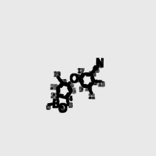 CB1OCc2cc(Oc3cc(C)c(C)c(C#N)c3)c(C)cc21